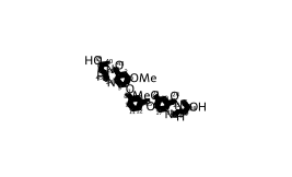 COc1cc2c(cc1OCc1cccc(COc3cc4c(cc3OC)C(=O)N3C[C@@H](O)C[C@H]3C=N4)c1)N=C[C@@H]1C[C@H](O)CN1C2=O